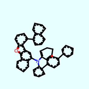 C1=CC(N(c2ccccc2-c2ccc(-c3ccccc3)cc2)c2cc3c(oc4cccc(-c5cccc6ccccc56)c43)c3ccccc23)=CCC1